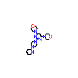 c1ccc(N2CCN(c3nc(N4CCOCC4)cc(N4CCOCC4)n3)CC2)nc1